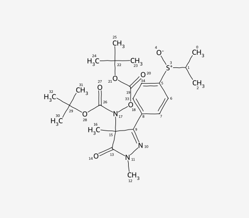 CC(C)[S+]([O-])c1ccc(C2=NN(C)C(=O)C2(C)N(OC(=O)OC(C)(C)C)C(=O)OC(C)(C)C)cc1